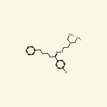 CCN(CC)CCON=C(CCCCc1ccccc1)c1ccc(Cl)cc1